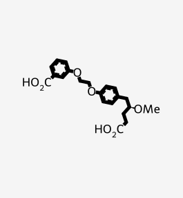 CO[C@H](CCC(=O)O)Cc1ccc(OCCOc2cccc(C(=O)O)c2)cc1